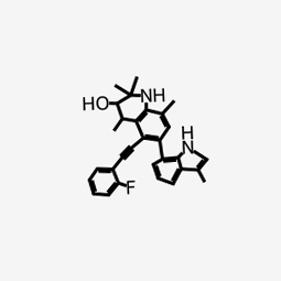 Cc1cc(-c2cccc3c(C)c[nH]c23)c(C#Cc2ccccc2F)c2c1NC(C)(C)C(O)C2C